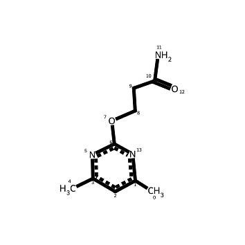 Cc1[c]c(C)nc(OCCC(N)=O)n1